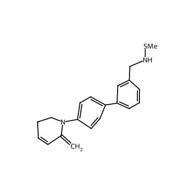 C=C1C=CCCN1c1ccc(-c2cccc(CNSC)c2)cc1